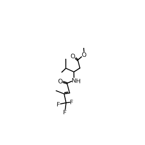 COC(=O)CC(NC(=O)/C=C(\C)C(F)(F)F)C(C)C